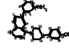 Nc1cc(-c2ccc3ncnc(N4CCN(c5ccc(O)cc5)CC4)c3c2)ccn1